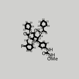 CONC(=O)Nc1ccc(-c2sc3c(c2CN(C)C(C)c2ccccc2)c(=O)n(-c2ccccc2)c(=O)n3Cc2c(F)cccc2F)cc1